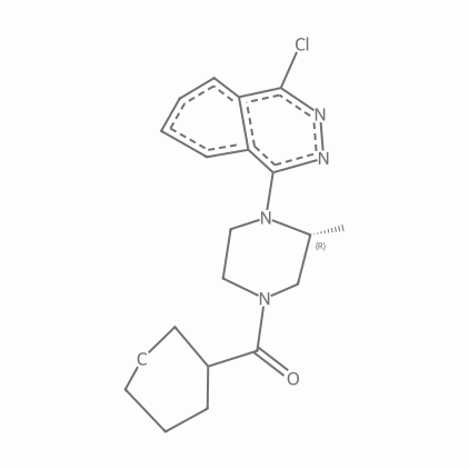 C[C@@H]1CN(C(=O)C2CCCCC2)CCN1c1nnc(Cl)c2ccccc12